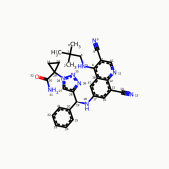 CC(C)(C)CNc1c(C#N)cnc2c(C#N)cc(N[C@@H](c3ccccc3)c3cn(C4(C(N)=O)CC4)nn3)cc12